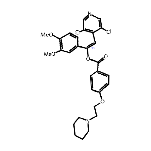 COc1ccc(/C(=C\c2c(Cl)cncc2Cl)OC(=O)c2ccc(OCCN3CCCCC3)cc2)cc1OC